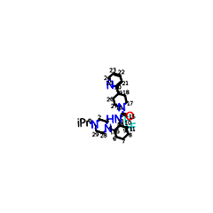 CC(C)N1CCN([C@H]2CCCC(F)(F)[C@@H]2NC(=O)N2CCC(c3ccccn3)CC2)CC1